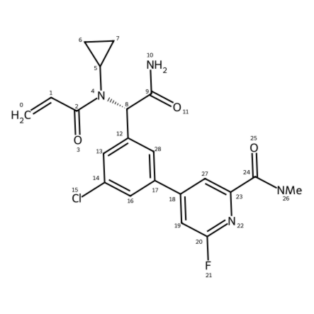 C=CC(=O)N(C1CC1)[C@H](C(N)=O)c1cc(Cl)cc(-c2cc(F)nc(C(=O)NC)c2)c1